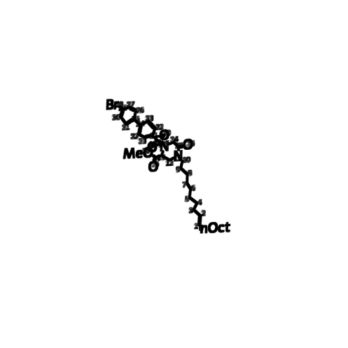 CCCCCCCCC=CCCCCCCCCN1CC(C(=O)OC)N(S(=O)(=O)c2ccc(-c3ccc(Br)cc3)cc2)CC1=O